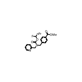 CCCC(F)OC(=O)N(Cc1ccc(C(=O)OC)cc1)Cc1ccccn1